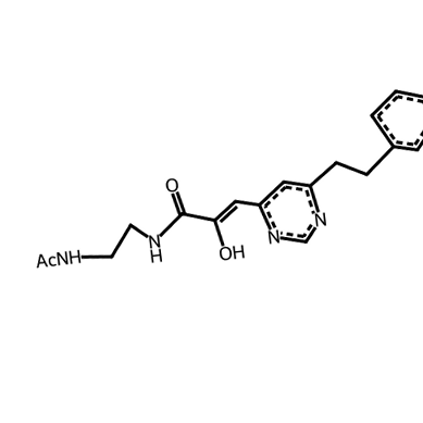 CC(=O)NCCNC(=O)/C(O)=C/c1cc(CCc2ccccc2)ncn1